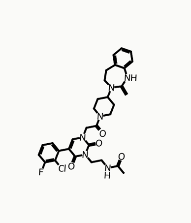 C=C1Nc2ccccc2CCN1C1CCN(C(=O)Cn2cc(-c3cccc(F)c3Cl)c(=O)n(CCNC(C)=O)c2=O)CC1